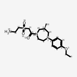 CCOc1ccc(N2CCN(C(=O)CS(=O)(=O)CCN)C[C@@H](C)C2)cc1